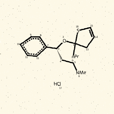 CCCC1(O[C@H](CCNC)c2ccccc2)CC=CS1.Cl